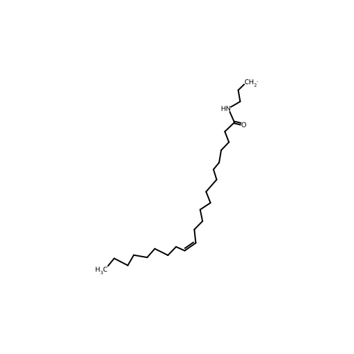 [CH2]CCNC(=O)CCCCCCCCCCC/C=C\CCCCCCCC